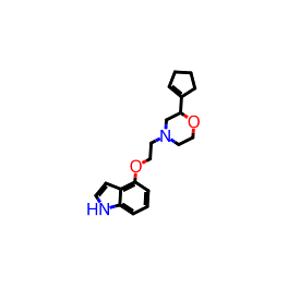 C1=C(C2CN(CCOc3cccc4[nH]ccc34)CCO2)CCC1